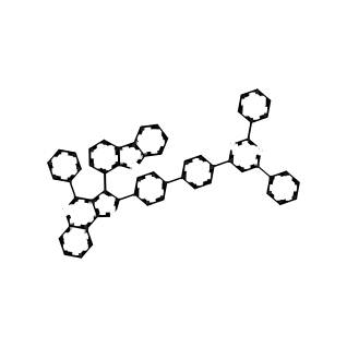 c1ccc(-c2cc(-c3ccc(-c4ccc(-c5sc6c(c(-c7ccccc7)nc7ccccc76)c5-c5cccc6c5oc5ccccc56)cc4)cc3)nc(-c3ccccc3)n2)cc1